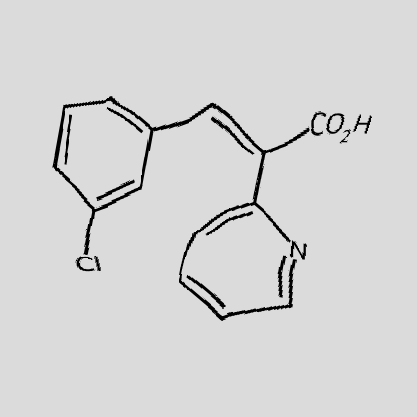 O=C(O)C(=Cc1cccc(Cl)c1)c1ccccn1